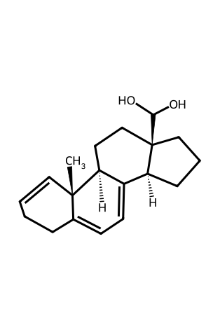 C[C@]12C=CCCC1=CC=C1[C@@H]3CCC[C@@]3(C(O)O)CC[C@@H]12